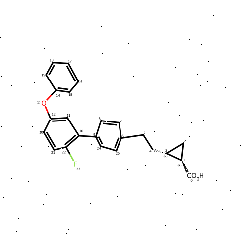 O=C(O)[C@@H]1C[C@H]1CCc1ccc(-c2cc(Oc3ccccc3)ccc2F)cc1